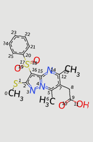 CSc1nn2c(C)c(CC(=O)O)c(C)nc2c1S(=O)(=O)c1ccccc1